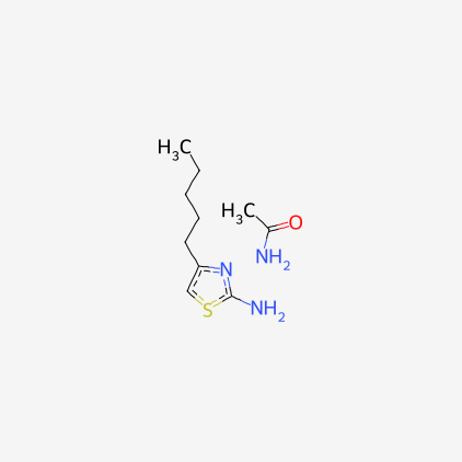 CC(N)=O.CCCCCc1csc(N)n1